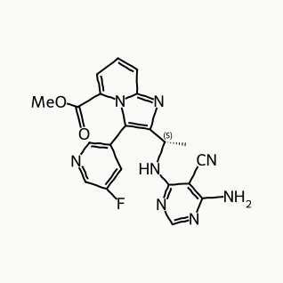 COC(=O)c1cccc2nc([C@H](C)Nc3ncnc(N)c3C#N)c(-c3cncc(F)c3)n12